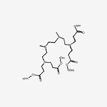 CCCCCCCCCCOC(=O)CCN(CCC(=O)OC)CCN(C)CCN(C)CCN(CCC(=O)OCCCCCCCCCC)CCC(=O)OCCCCCCCCCC